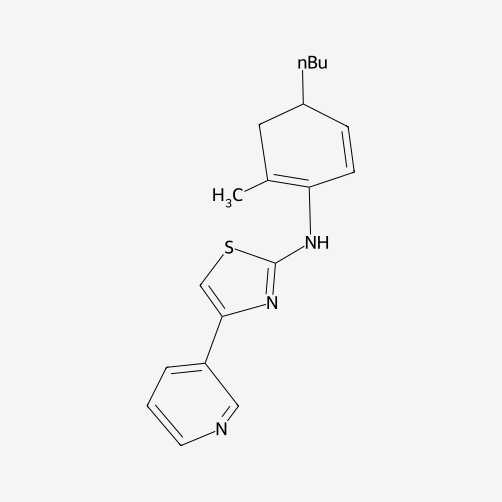 CCCCC1C=CC(Nc2nc(-c3cccnc3)cs2)=C(C)C1